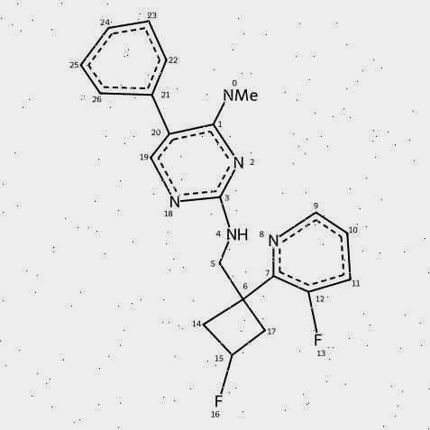 CNc1nc(NCC2(c3ncccc3F)CC(F)C2)ncc1-c1ccccc1